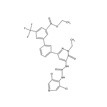 CCOC(=O)c1cc(-c2cccc(-c3cc(NC(=O)Nc4c(Cl)cncc4Cl)c(=O)n(CC)n3)c2)cc(C(F)(F)F)c1